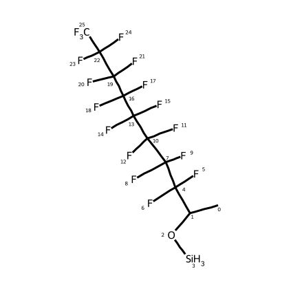 CC(O[SiH3])C(F)(F)C(F)(F)C(F)(F)C(F)(F)C(F)(F)C(F)(F)C(F)(F)C(F)(F)F